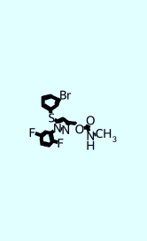 CNC(=O)OCc1cc(Sc2cccc(Br)c2)n(-c2cc(F)ccc2F)n1